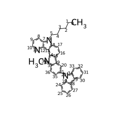 CCCCCCn1c2cccnc2c2c3c(ccc21)c1cc(-n2c4ccccc4c4ccccc42)ccc1n3C